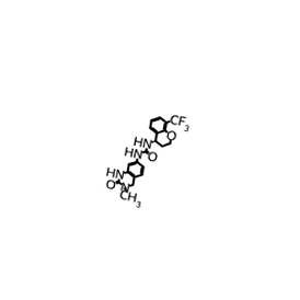 CN1Cc2ccc(NC(=O)N[C@@H]3CCOc4c3cccc4C(F)(F)F)cc2NC1=O